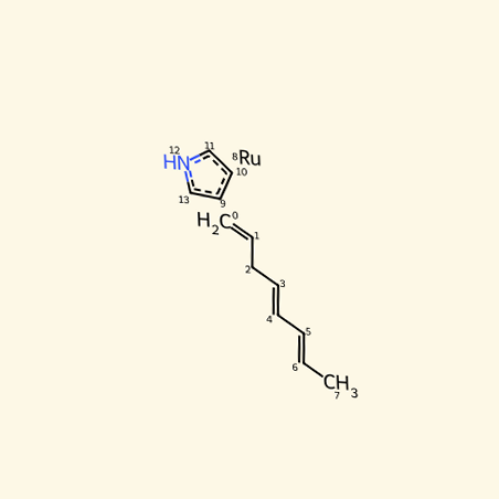 C=CCC=CC=CC.[Ru].c1cc[nH]c1